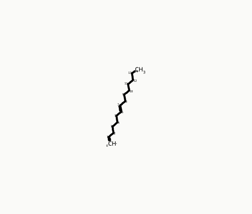 [CH]=CCCCCC=CCCCCCCC